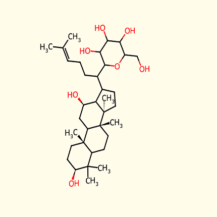 CC(C)=CCCC(C1CC[C@]2(C)C1[C@H](O)CC1[C@@]3(C)CC[C@H](O)C(C)(C)C3CC[C@]12C)C1OC(CO)C(O)C(O)C1O